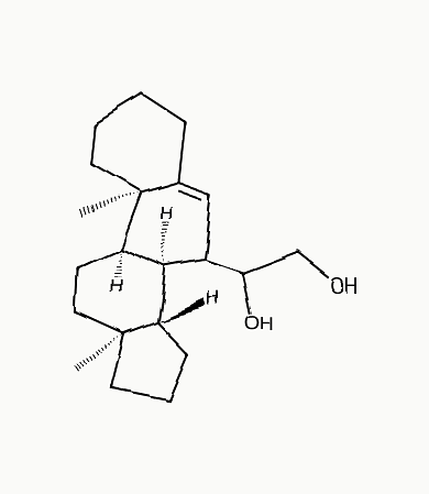 C[C@@]12CCC[C@H]1[C@@H]1C(C(O)CO)C=C3CCCC[C@]3(C)[C@@H]1CC2